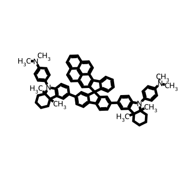 CN(C)c1ccc(N2c3ccc(-c4ccc5c(c4)C4(c6cc(-c7ccc8c(c7)C7(C)CCCCC7(C)N8c7ccc(N(C)C)cc7)ccc6-5)c5ccccc5-c5c4cc4ccc6cccc7ccc5c4c67)cc3C3(C)CCCCC23C)cc1